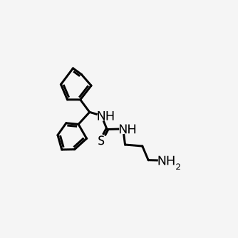 NCCCNC(=S)NC(c1ccccc1)c1ccccc1